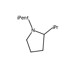 CCCC(C)N1CCCC1C(C)C